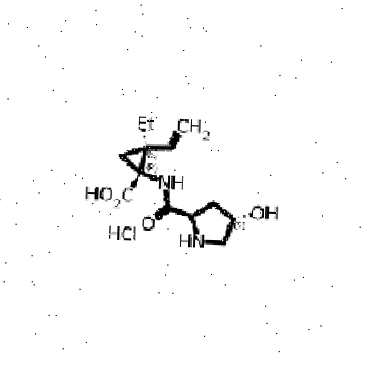 C=C[C@]1(CC)C[C@]1(NC(=O)C1C[C@H](O)CN1)C(=O)O.Cl